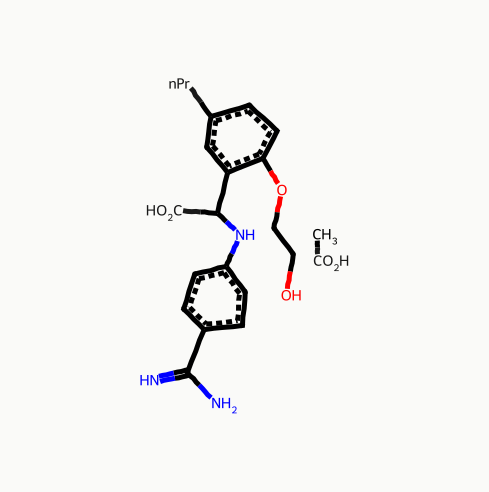 CC(=O)O.CCCc1ccc(OCCO)c(C(Nc2ccc(C(=N)N)cc2)C(=O)O)c1